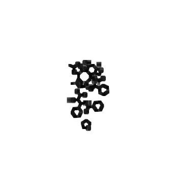 C1CCOC1.CC(=O)O[C@H]1C(=O)[C@@]2(C)[C@H]([C@H](OC(=O)c3ccccc3)[C@]3(O)C[C@H](OC(=O)[C@H](O)[C@@H](NC(=O)c4ccccc4)c4ccccc4)C(C)=C1C3(C)C)[C@]1(OC(C)=O)CO[C@@H]1C[C@@H]2O